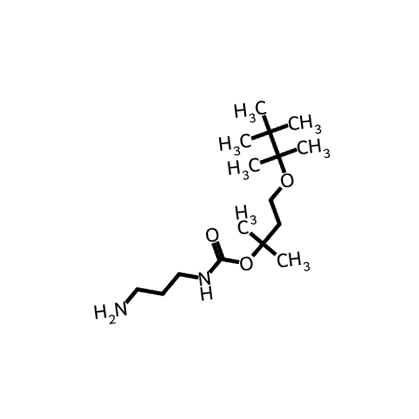 CC(C)(CCOC(C)(C)C(C)(C)C)OC(=O)NCCCN